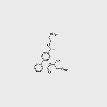 CCCCCCCCCCCCOC(C)c1ccc(-c2ccccc2C(=O)OC(CCC)CCCCCCCCCCC)cc1